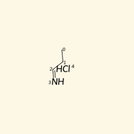 CCC=N.Cl